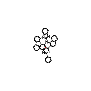 c1ccc(-c2nc(-c3ccccc3)nc(-c3ccc4ccccc4c3N3c4ccccc4-c4ccccc4-n4c3nc3ccccc34)n2)cc1